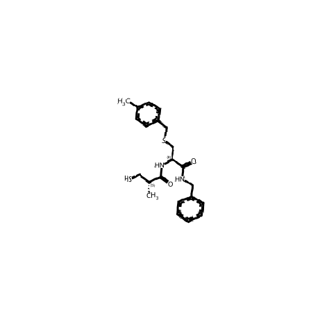 Cc1ccc(CSC[C@H](NC(=O)[C@H](C)CS)C(=O)NCc2ccccc2)cc1